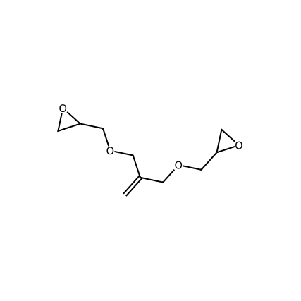 C=C(COCC1CO1)COCC1CO1